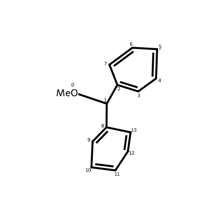 COC(c1cc[c]cc1)c1ccccc1